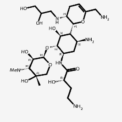 CN[C@@H]1[C@@H](O)[C@@H](O[C@H]2[C@H](NC(=O)[C@@H](O)CCN)C[C@H](N)C([C@H]3OC(CN)=CC[C@H]3NCC(O)CO)[C@@H]2O)OC[C@]1(C)O